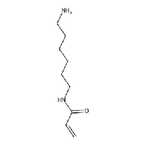 C=CC(=O)NCCCCCCN